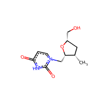 C[C@H]1C[C@@H](CO)O[C@H]1Cn1ccc(=O)[nH]c1=O